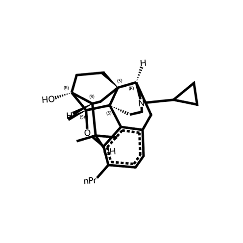 CCCc1ccc2c3c1O[C@@]1(C)[C@]34CCN(C3CC3)[C@H](C2)[C@]42CC[C@@]1(O)[C@@H](C(C)(C)O)C2